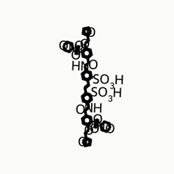 O=C(Nc1ccc(C=Cc2ccc(NC(=O)c3ccc(OCc4ccco4)c(S(=O)(=O)N4CCOCC4)c3)cc2S(=O)(=O)O)c(S(=O)(=O)O)c1)c1ccc(OCc2ccco2)c(S(=O)(=O)N2CCOCC2)c1